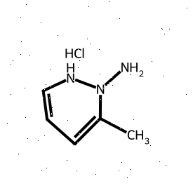 CC1=CC=CNN1N.Cl